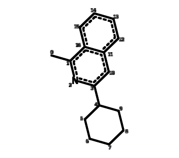 Cc1nc(C2CCCCC2)cc2ccccc12